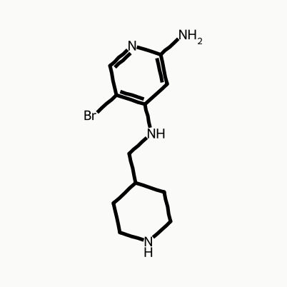 Nc1cc(NCC2CCNCC2)c(Br)cn1